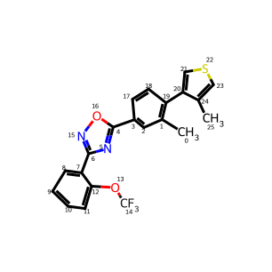 Cc1cc(-c2nc(-c3ccccc3OC(F)(F)F)no2)ccc1-c1cscc1C